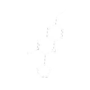 COc1ccc(NC(C(=O)O)c2ccsc2)cc1